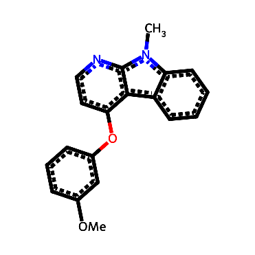 COc1cccc(Oc2ccnc3c2c2ccccc2n3C)c1